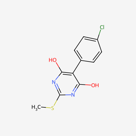 CSc1nc(O)c(-c2ccc(Cl)cc2)c(O)n1